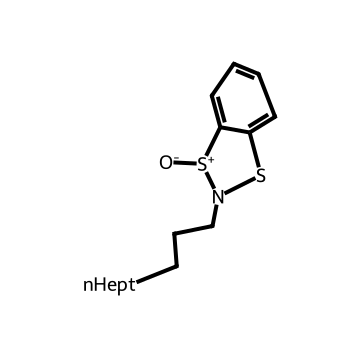 CCCCCCCCCCN1Sc2ccccc2[S+]1[O-]